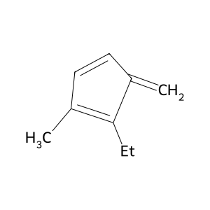 C=C1C=CC(C)=C1CC